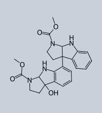 COC(=O)N1CCC2(O)c3cccc(C45CCN(C(=O)OC)C4Nc4ccccc45)c3NC12